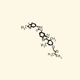 Cc1nc2cc(NC(=O)Oc3ccc4nc(-c5c(C)cc(OCC(=O)N(C)C)cc5C)[nH]c4c3)ccc2s1